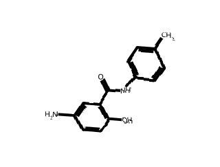 Cc1ccc(NC(=O)c2cc(N)ccc2O)cc1